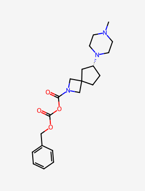 CN1CCN([C@@H]2CCC3(C2)CN(C(=O)OC(=O)OCc2ccccc2)C3)CC1